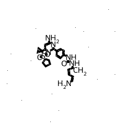 C=C(/C=C\C=C/N)NC(=O)Nc1ccc(-c2nc(N)cc(C3(S(=O)(=O)C4CCCC4)CC3)n2)cc1